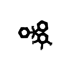 Fc1ccc(P(F)(F)(c2ccccc2)c2ccccc2)c(F)c1F